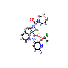 Cc1ccc(NC(=O)C2(c3ccccc3C(C)C)CN(C(=O)N3CCOCC3)C2)c(OC(F)F)n1